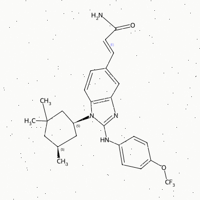 C[C@@H]1C[C@H](n2c(Nc3ccc(OC(F)(F)F)cc3)nc3cc(/C=C/C(N)=O)ccc32)CC(C)(C)C1